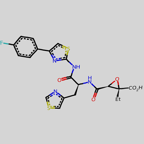 CC[C@]1(C(=O)O)O[C@@H]1C(=O)N[C@@H](Cc1cscn1)C(=O)Nc1nc(-c2ccc(F)cc2)cs1